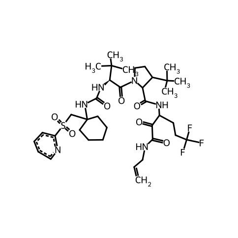 C=CCNC(=O)C(=O)C(CCC(F)(F)F)NC(=O)C1C(C(C)(C)C)CCN1C(=O)[C@@H](NC(=O)NC1(CS(=O)(=O)c2ccccn2)CCCCC1)C(C)(C)C